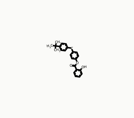 CC(C)(C)c1ccc([I+]c2ccc(OC(=O)c3ccccc3O)cc2)cc1